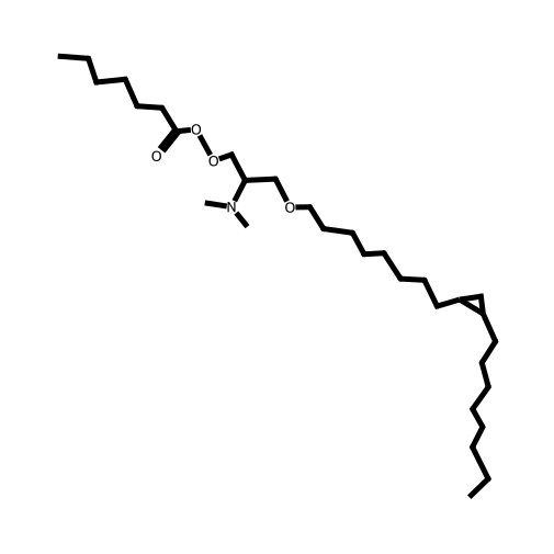 CCCCCCCCC1CC1CCCCCCCCOCC(COOC(=O)CCCCCC)N(C)C